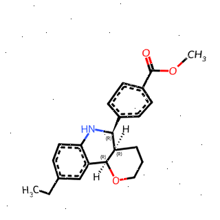 CCc1ccc2c(c1)[C@@H]1OCCC[C@@H]1[C@H](c1ccc(C(=O)OC)cc1)N2